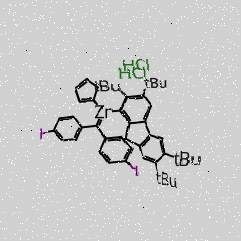 CC(C)(C)c1cc2c(cc1C(C)(C)C)-c1cc(C(C)(C)C)c(C(C)(C)C)[c]([Zr]([C]3=CC=CC3)=[C](c3ccc(I)cc3)c3ccc(I)cc3)c1C2.Cl.Cl